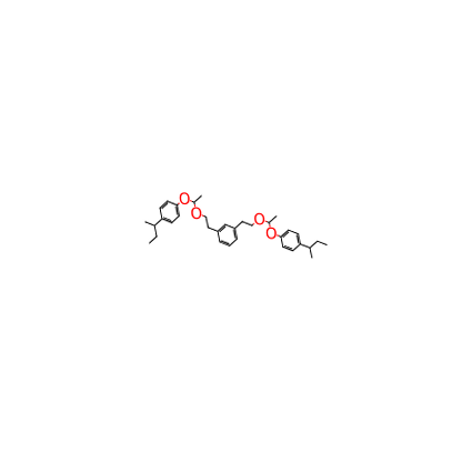 CCC(C)c1ccc(OC(C)OCCc2cccc(CCOC(C)Oc3ccc(C(C)CC)cc3)c2)cc1